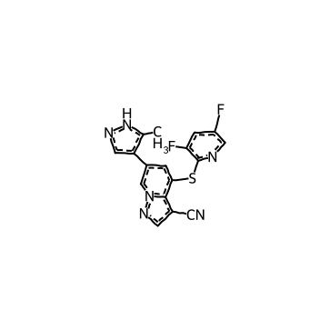 Cc1[nH]ncc1-c1cc(Sc2ncc(F)cc2F)c2c(C#N)cnn2c1